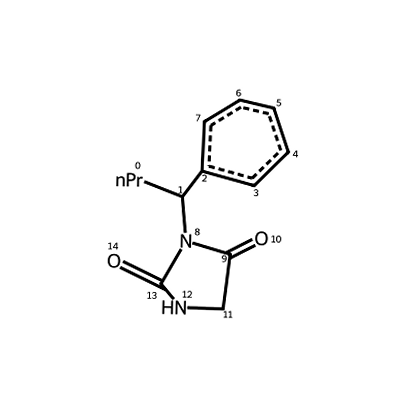 CCCC(c1ccccc1)N1C(=O)CNC1=O